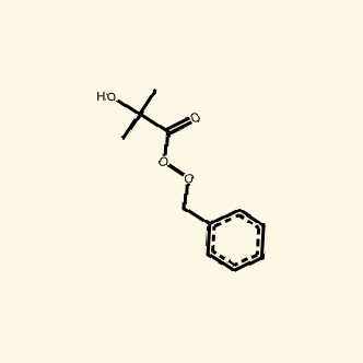 CC(C)(O)C(=O)OOCc1ccccc1